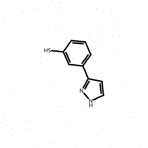 Sc1cccc(-c2cc[nH]n2)c1